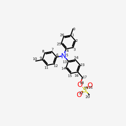 Cc1ccc(N(c2ccc(C)cc2)c2ccc(COS(C)(=O)=O)cc2)cc1